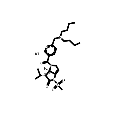 CCCCN(CCCC)Cc1ccc(C(=O)N2CC=C3[C@H]2[C@@H](C(C)C)C(=O)N3S(C)(=O)=O)cn1.Cl